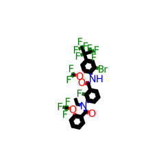 CCN(C(=O)c1ccccc1OC(F)(F)F)c1cccc(C(=O)Nc2c(Br)cc(C(F)(C(F)(F)F)C(F)(F)F)cc2OC(F)F)c1F